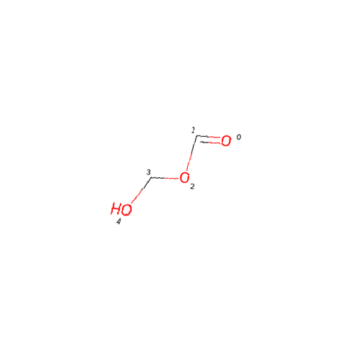 O=COCO